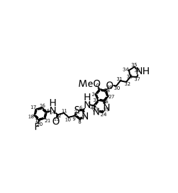 COc1cc2c(Nc3ncc(CCC(=O)Nc4cccc(F)c4)s3)ncnc2cc1OCCCC1CCNC1